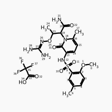 COc1ccc(C)cc1S(=O)(=O)Nc1ccc(C)n(C(C(N)=O)C(C)ON=C(N)N)c1=O.O=C(O)C(F)(F)F